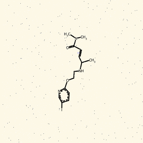 CC(/C=C/C(=O)N(C)C)NCCOc1ccc(I)cn1